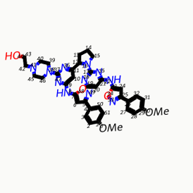 COc1ccc(-c2cc(Nc3cc(C4CCCN4c4nccc(Nc5cc(-c6ccc(OC)cc6)no5)n4)nc(N4CCN(CCO)CC4)n3)on2)cc1